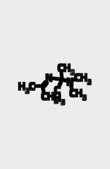 CC(C)=NC(C)(C)N(C)C